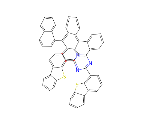 c1ccc(-c2c3ccccc3c(-c3cccc4ccccc34)c3ccccc23)c(-c2nc(-c3cccc4c3sc3ccccc34)nc(-c3cccc4c3sc3ccccc34)n2)c1